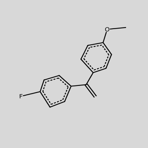 C=C(c1ccc(F)cc1)c1ccc(OC)cc1